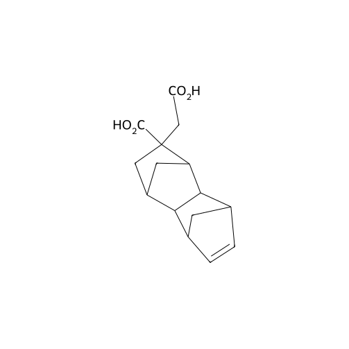 O=C(O)CC1(C(=O)O)CC2CC1C1C3C=CC(C3)C21